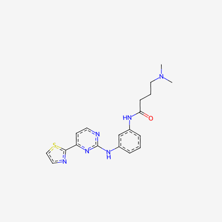 CN(C)CCCC(=O)Nc1cccc(Nc2nccc(-c3nccs3)n2)c1